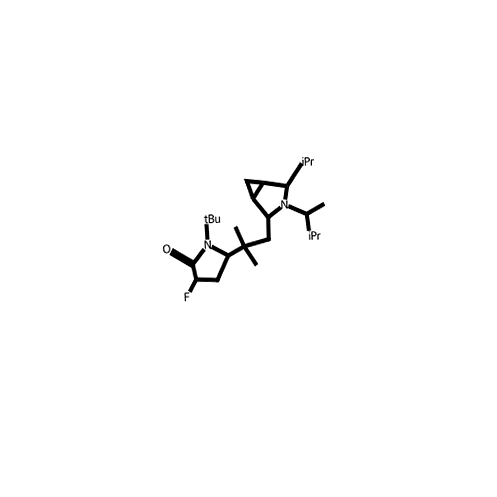 CC(C)C(C)N1C(CC(C)(C)C2CC(F)C(=O)N2C(C)(C)C)C2CC2C1C(C)C